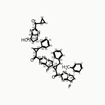 Cc1ccccc1[C@@H]1C[C@H](F)c2nc(C(=O)C3CC3Cc3ccccc3[C@@H]3C[C@@H](F)c4nc(C(=O)C5CC5c5ccccc5[C@@H]5C[C@@H](O)c6nc(C(=O)C7CC7)nn65)nn43)nn21